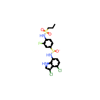 CCCS(=O)(=O)Nc1ccc([S+]([O-])Nc2ccc(Cl)c3c(Cl)c[nH]c23)cc1F